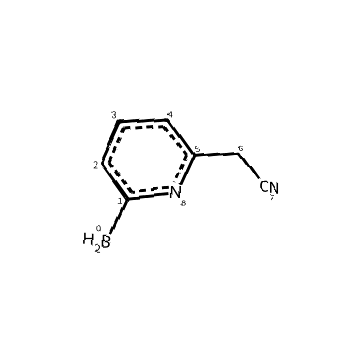 Bc1cccc(CC#N)n1